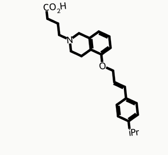 CC(C)c1ccc(/C=C/COc2cccc3c2CCN(CCCC(=O)O)C3)cc1